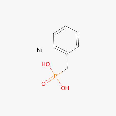 O=P(O)(O)Cc1ccccc1.[Ni]